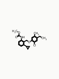 CCc1cc(Cl)c(OCc2c(NC(=O)OC)cccc2C2CC2)cc1C